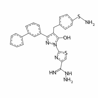 N=C(NN)c1csc(-n2nc(-c3cccc(-c4ccccc4)c3)c(Cc3ccc(SN)cc3)c2O)n1